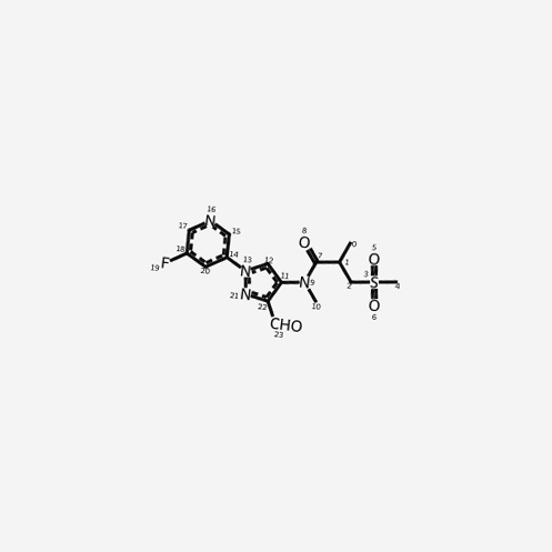 CC(CS(C)(=O)=O)C(=O)N(C)c1cn(-c2cncc(F)c2)nc1C=O